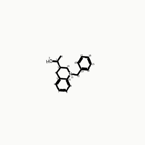 CC(O)C1Cc2ccccc2N(Cc2ccccc2)C1